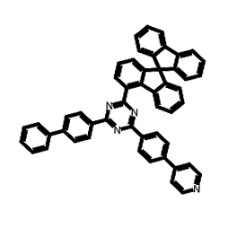 c1ccc(-c2ccc(-c3nc(-c4ccc(-c5ccncc5)cc4)nc(-c4cccc5c4-c4ccccc4C54c5ccccc5-c5ccccc54)n3)cc2)cc1